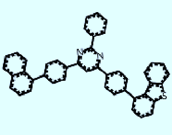 c1ccc(-c2nc(-c3ccc(-c4cccc5ccccc45)cc3)cc(-c3ccc(-c4cccc5sc6ccccc6c45)cc3)n2)cc1